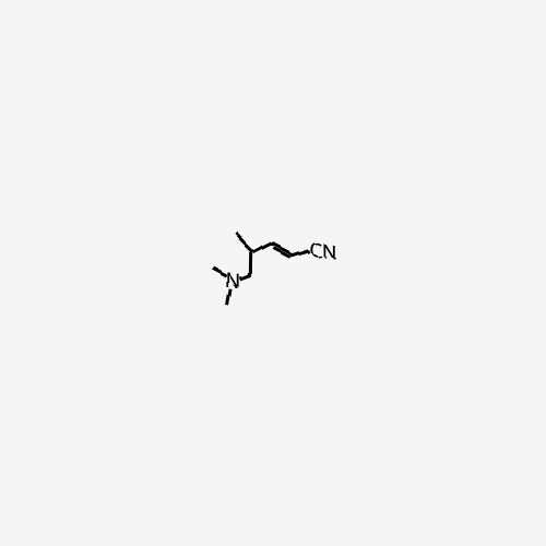 CC(C=CC#N)CN(C)C